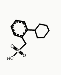 O=S(=O)(O)Cc1ccccc1C1CCCCC1